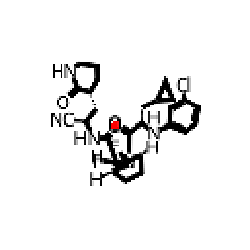 N#C[C@@H](C[C@H]1CCCNC1=O)NC(=O)[C@H]1[C@H]2CC[C@H](CC2(F)F)N1C(=O)[C@H](CC1CC1)Nc1cccc(Cl)c1